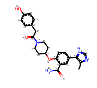 Cc1nc[nH]c1-c1ccc(OC2CCN(C(=O)Cc3ccc(O)cc3)CC2)c(C(N)=O)c1